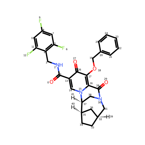 O=C(NCc1c(F)cc(F)cc1F)c1cn2c(c(OCc3ccccc3)c1=O)C(=O)N1C[C@H]3CC[C@H](C3)[C@@H]2C1